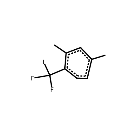 Cc1ccc(C(F)(F)I)c(C)c1